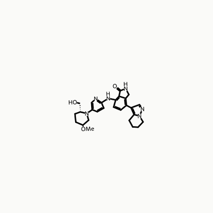 CO[C@@H]1CC[C@H](CO)N(c2ccc(Nc3ccc(-c4cnn5c4CCCC5)c4c3C(=O)NC4)nc2)C1